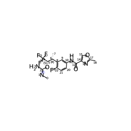 C/N=C(/N)O[C@@H]([C@H](C)c1cc(NC(=O)c2coc(C)n2)ccc1F)C(F)(F)F